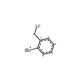 [Li][CH2]c1ccccc1C(C)CC